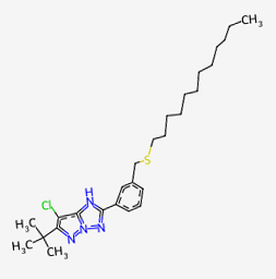 CCCCCCCCCCCCSCc1cccc(-c2nn3nc(C(C)(C)C)c(Cl)c3[nH]2)c1